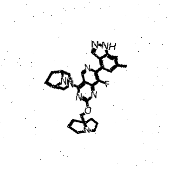 Cc1cc(-c2ncc3c(N4CC5CCC(C4)N5)nc(OCC45CCCN4CCC5)nc3c2F)c2cn[nH]c2c1